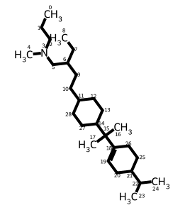 CCCN(C)CC(CC)CCC1CCC(C(C)(C)C2=CCC(C(C)C)CC2)CC1